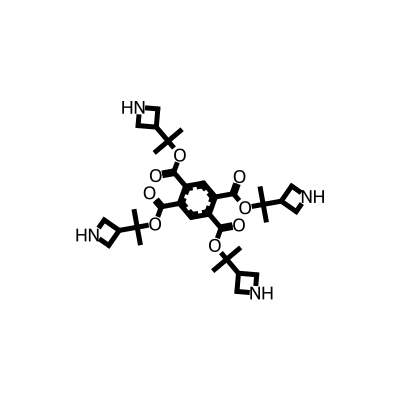 CC(C)(OC(=O)c1cc(C(=O)OC(C)(C)C2CNC2)c(C(=O)OC(C)(C)C2CNC2)cc1C(=O)OC(C)(C)C1CNC1)C1CNC1